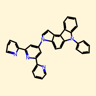 c1ccc(-n2c3ccccc3c3c4ccn(-c5cc(-c6ccccn6)nc(-c6ccccn6)c5)c4ccc32)cc1